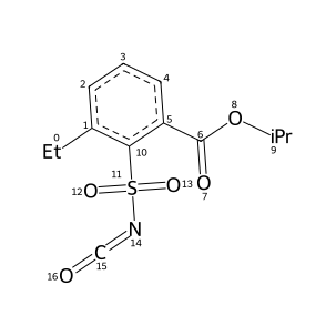 CCc1cccc(C(=O)OC(C)C)c1S(=O)(=O)N=C=O